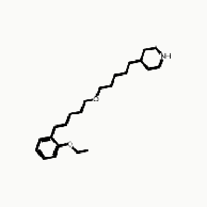 CCOc1ccccc1CCCCCOCCCCCC1[CH]CNCC1